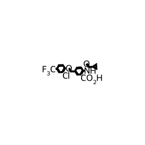 O=C(O)c1cc(COc2ccc(C(F)(F)F)cc2Cl)ccc1NC(=O)C1CC1